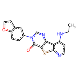 CCNc1ccnc2sc3c(=O)n(-c4ccc5occc5c4)cnc3c12